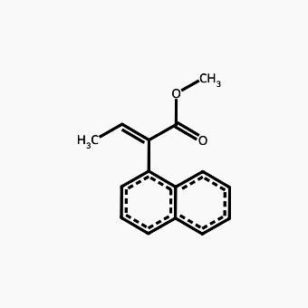 C/C=C(/C(=O)OC)c1cccc2ccccc12